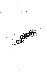 CCN(CC)S(=O)(=O)c1ccc(S(=O)(=O)N2CCCC(C(=O)N3CCC(C(F)(F)F)CC3)C2)cc1